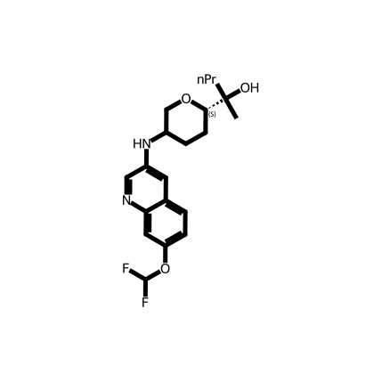 CCCC(C)(O)[C@@H]1CCC(Nc2cnc3cc(OC(F)F)ccc3c2)CO1